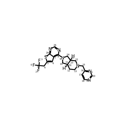 FC(F)(F)Cc1cc2c(N3C[C@H]4CCN(Cc5ccncn5)C[C@H]4C3)ncnc2s1